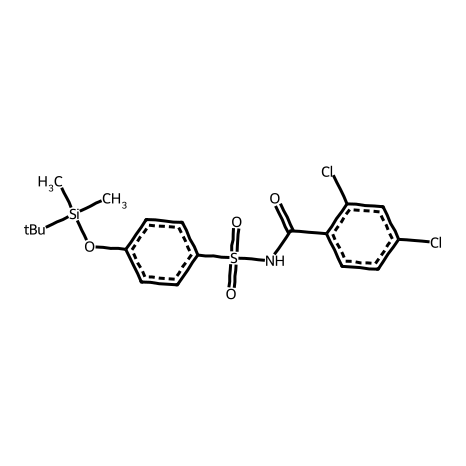 CC(C)(C)[Si](C)(C)Oc1ccc(S(=O)(=O)NC(=O)c2ccc(Cl)cc2Cl)cc1